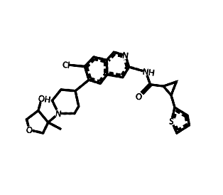 CC1(N2CCC(c3cc4cc(NC(=O)C5CC5c5cccs5)ncc4cc3Cl)CC2)COCC1O